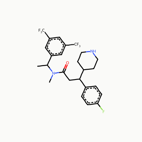 CC(c1cc(C(F)(F)F)cc(C(F)(F)F)c1)N(C)C(=O)CC(c1ccc(F)cc1)C1CCNCC1